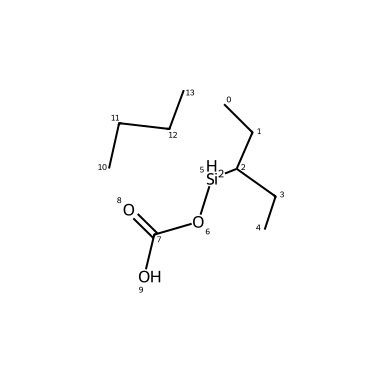 CCC(CC)[SiH2]OC(=O)O.CCCC